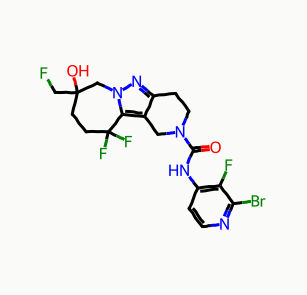 O=C(Nc1ccnc(Br)c1F)N1CCc2nn3c(c2C1)C(F)(F)CCC(O)(CF)C3